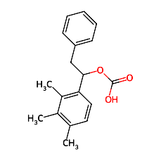 Cc1ccc(C(Cc2ccccc2)OC(=O)O)c(C)c1C